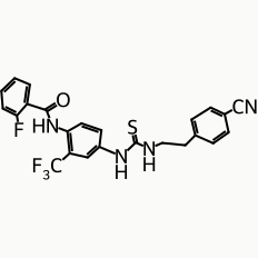 N#Cc1ccc(CCNC(=S)Nc2ccc(NC(=O)c3ccccc3F)c(C(F)(F)F)c2)cc1